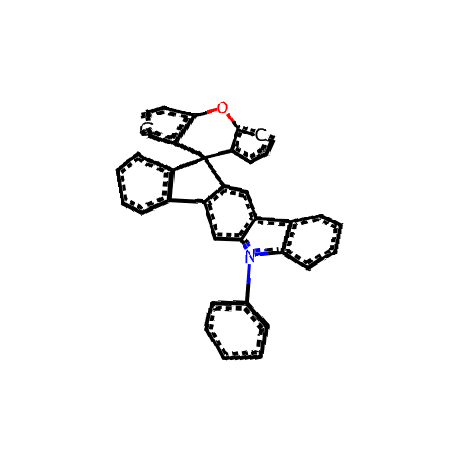 c1ccc(-n2c3ccccc3c3cc4c(cc32)-c2ccccc2C42c3ccccc3Oc3ccccc32)cc1